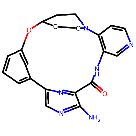 Nc1ncc2nc1C(=O)Nc1cnccc1N1CCC(CC1)Oc1cccc-2c1